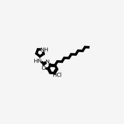 CCCCCCCCCCc1cccc2oc(N[C@@H]3CCNC3)nc12.Cl